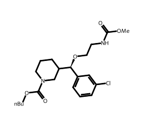 CCCCOC(=O)N1CCCC([C@@H](OCCNC(=O)OC)c2cccc(Cl)c2)C1